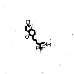 N=C/C(=C\C=C\C1CCc2nc(Cl)ccc2C1=O)C(F)(F)F